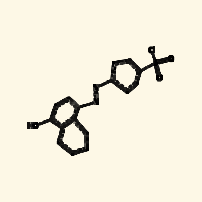 O=S(=O)(Cl)c1ccc(N=Nc2ccc(O)c3ccccc23)cc1